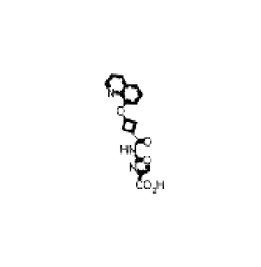 O=C(O)c1coc(NC(=O)[C@H]2C[C@H](Oc3cccc4cccnc34)C2)n1